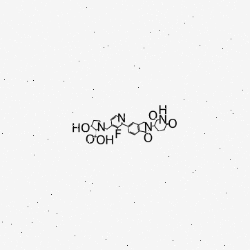 O=C1CCC(N2Cc3cc(-c4nccc(CN5CC[C@@H](O)[C@H]5C(=O)O)c4F)ccc3C2=O)C(=O)N1